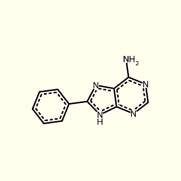 Nc1ncnc2[nH]c(-c3ccccc3)nc12